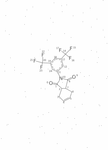 O=C1C2CC=CCC2C(=O)N1c1cc(C(F)(F)F)cc(C(F)(F)F)c1